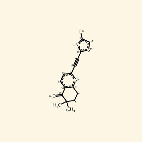 CC1(C)CCc2nc(C#Cc3nc(F)cs3)ccc2C1=O